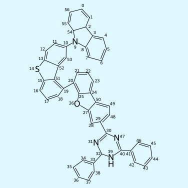 C1=CC2c3ccccc3N(c3ccc4sc5cccc(-c6cccc7c6oc6cc(C8=NC(c9ccccc9)NC(c9ccccc9)=N8)ccc67)c5c4c3)C2C=C1